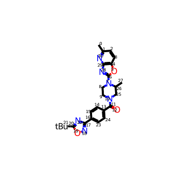 Cc1ccc2oc(N3CCN(C(=O)c4ccc(-c5noc(C(C)(C)C)n5)cc4)CC3C)nc2n1